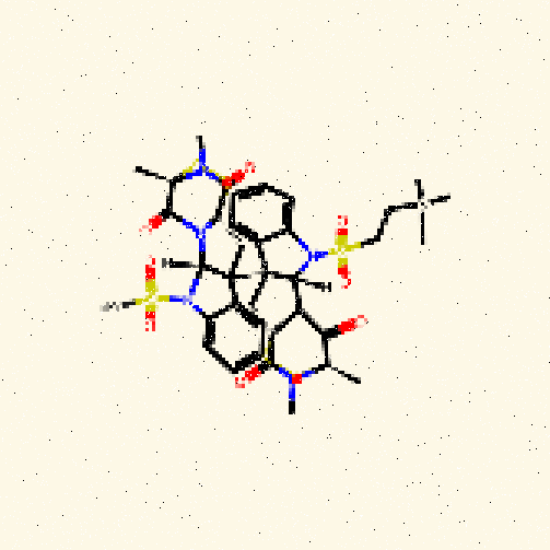 CCCS(=O)(=O)N1c2ccccc2C2([C@]34C[C@@]56SS[C@@](C)(C(=O)C5[C@H]3N(S(=O)(=O)CC[Si](C)(C)C)c3ccccc34)N(C)C6=O)C[C@@]34SS[C@@](C)(C(=O)N3[C@@H]12)N(C)C4=O